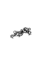 O=C(NS(=O)(=O)N1CC[C@@H]2[C@@H](C1)OCC(=O)N2c1ccccc1)c1cc(Cl)c(OCC2CCCC2)cc1F